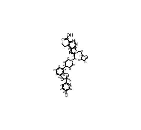 CCc1c(C(=O)O)nnc2c1nc(CN1CCC(c3cccc4c3OC(C)(c3ccc(Cl)cn3)O4)CC1)n2CC1CCO1